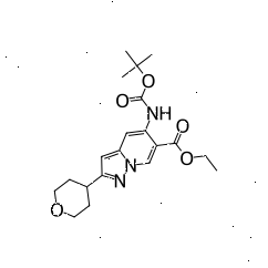 CCOC(=O)c1cn2nc(C3CCOCC3)cc2cc1NC(=O)OC(C)(C)C